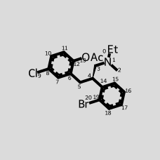 CCN(C)C[C@H](Cc1cc(Cl)ccc1OC(C)=O)c1ccccc1Br